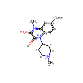 COc1ccc2c(c1)n(C)c(=O)c(=O)n2C1CCN(C)CC1